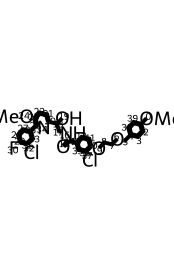 COc1ccc(COCCOc2ccc(C(=O)NCC(O)c3ccc(OC)c(-c4ccc(F)c(Cl)c4)n3)cc2Cl)cc1